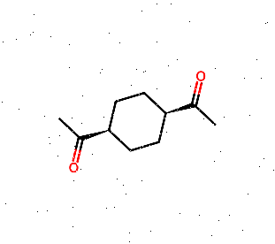 CC(=O)[C@H]1CC[C@@H](C(C)=O)CC1